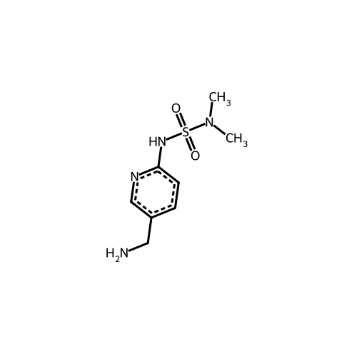 CN(C)S(=O)(=O)Nc1ccc(CN)cn1